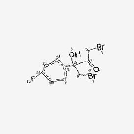 O=C(CBr)C(O)(CBr)c1ccc(F)cc1